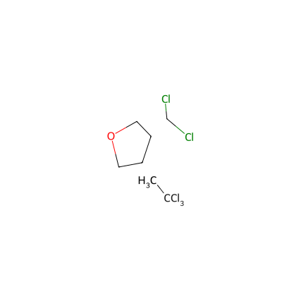 C1CCOC1.CC(Cl)(Cl)Cl.ClCCl